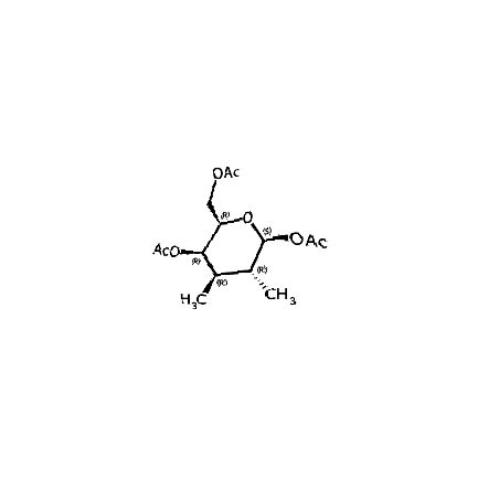 CC(=O)OC[C@H]1O[C@@H](OC(C)=O)[C@H](C)[C@@H](C)[C@H]1OC(C)=O